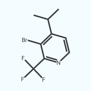 CC(C)c1ccnc(C(F)(F)F)c1Br